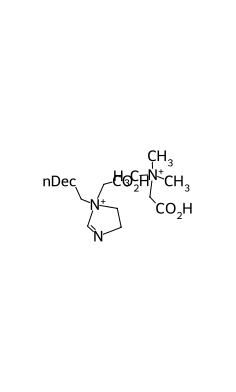 CCCCCCCCCCC[N+]1(CC(=O)O)C=NCC1.C[N+](C)(C)CC(=O)O